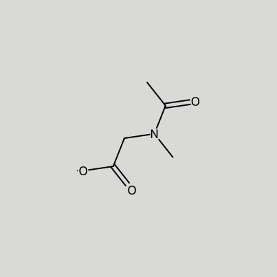 CC(=O)N(C)CC([O])=O